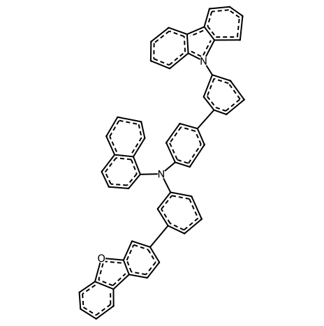 c1cc(-c2ccc3c(c2)oc2ccccc23)cc(N(c2ccc(-c3cccc(-n4c5ccccc5c5ccccc54)c3)cc2)c2cccc3ccccc23)c1